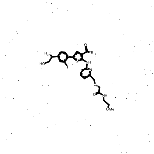 COCCNC(=O)COCc1cccc(Nc2sc(-c3ccc(C(C)CO)cc3F)cc2C(N)=O)n1